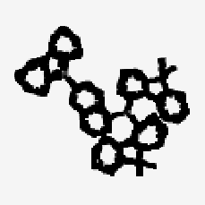 CC1(C)c2ccccc2-c2c(N(c3cccc4c3-c3ccccc3C4(C)C)c3cccc4cc(-n5c6ccccc6c6ccccc65)ccc34)cccc21